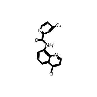 O=C(Nc1cccc2c(Cl)ccnc12)c1cc(Cl)ccn1